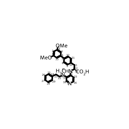 COc1cc(OC)cc(-c2ccc(C[C@H](Nc3ccncc3N(C)CCc3ccccc3)C(=O)O)cc2)c1